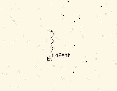 C=CCCCCCC(CC)CCCCC